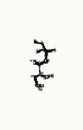 CCC(C)(C)OC(=O)C(O)CO